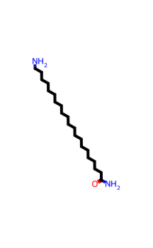 NCCCCCCCCCCCCCCCCCCCCC(N)=O